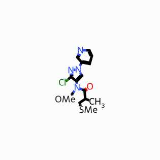 COCN(C(=O)C(C)CSC)c1cn(-c2cccnc2)nc1Cl